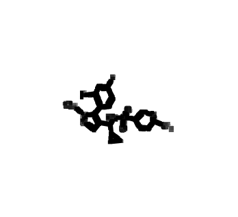 CC(C)(C)n1ncc(C(NS(=O)(=O)c2ccc(C(F)(F)F)nc2)C2CC2)c1-c1ccc(F)cc1F